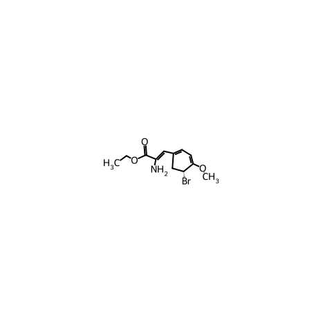 CCOC(=O)/C(N)=C/C1=CC=C(OC)[C@H](Br)C1